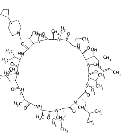 C/C=C/C[C@@H](C)[C@@H](O)[C@H]1C(=O)N[C@@H](CC)C(=O)N(C)[C@H](C)C(=O)N(C)[C@@H]([C@H](C)CN2CCN(C3CCC3)CC2)C(=O)NC(C(C)C)C(=O)N(C)[C@@H](CC(C)C)C(=O)N[C@@H](C)C(=O)N[C@H](C)C(=O)N(C)[C@@H](CC(C)C)C(=O)N(C)[C@@H](CCC(C)C)C(=O)N(C)C(C(C)C)C(=O)N1C